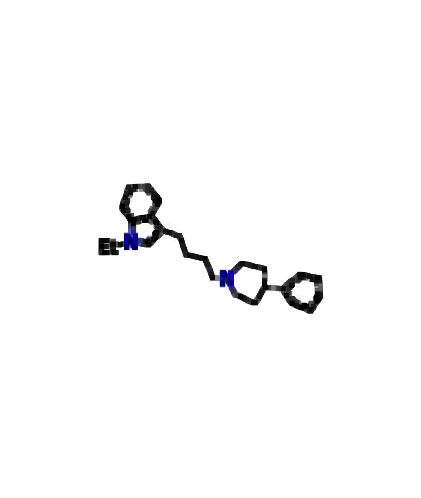 CCn1cc(CCCCN2CCC(c3ccccc3)CC2)c2ccccc21